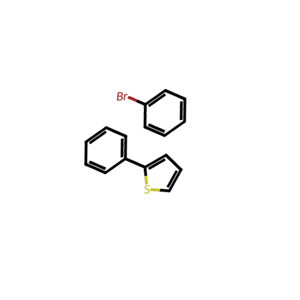 Brc1ccccc1.c1ccc(-c2cccs2)cc1